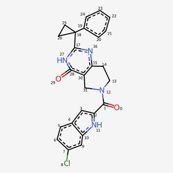 O=C(c1cc2ccc(Cl)cc2[nH]1)N1CCc2nc(C3(c4ccccc4)CC3)[nH]c(=O)c2C1